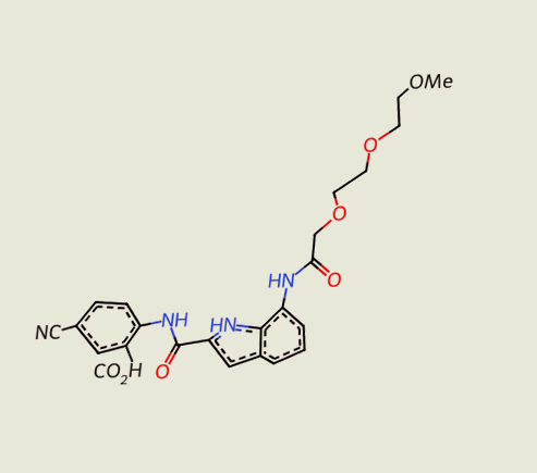 COCCOCCOCC(=O)Nc1cccc2cc(C(=O)Nc3ccc(C#N)cc3C(=O)O)[nH]c12